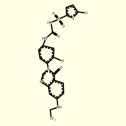 O=C(Nc1ccc(-n2cnc3cc(NCC(F)(F)F)ccc3c2=O)c(Cl)c1)NS(=O)(=O)c1ccc(Cl)s1